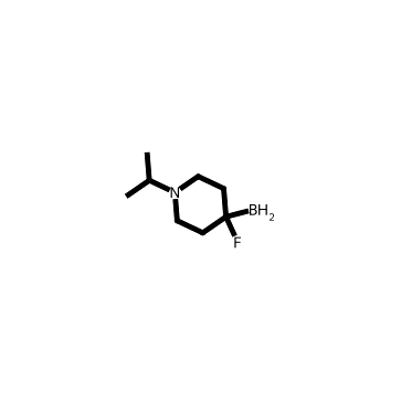 BC1(F)CCN(C(C)C)CC1